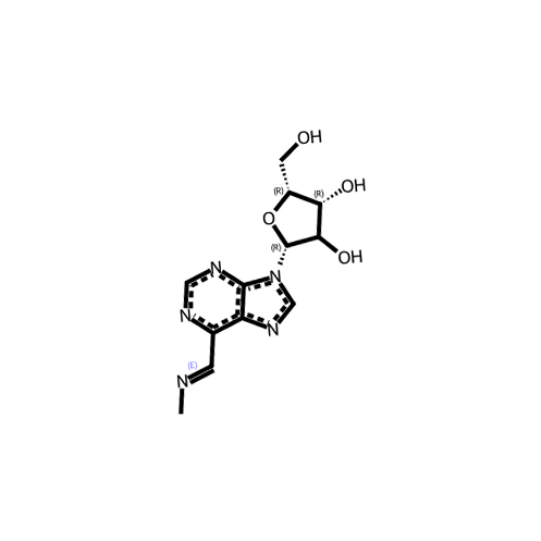 C/N=C/c1ncnc2c1ncn2[C@@H]1O[C@H](CO)[C@H](O)C1O